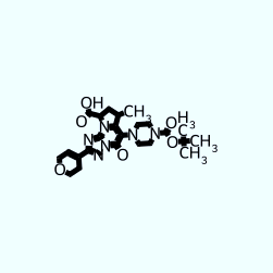 CC1CC(C(=O)O)n2c1c(N1CCN(C(=O)OC(C)(C)C)CC1)c(=O)n1nc(C3=CCOCC3)nc21